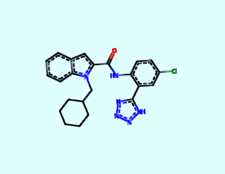 O=C(Nc1ccc(Cl)cc1-c1nnn[nH]1)c1cc2ccccc2n1CC1CCCCC1